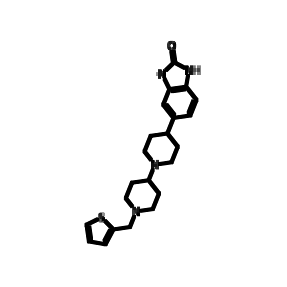 O=C1[N]c2cc(C3CCN(C4CCN(Cc5cccs5)CC4)CC3)ccc2N1